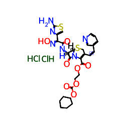 Cl.Cl.Nc1nc(C(=NO)C(=O)N[C@@H]2C(=O)N3C(C(=O)OCCOC(=O)OC4CCCCC4)=C(/C=C\c4cccnc4)CS[C@@H]23)cs1